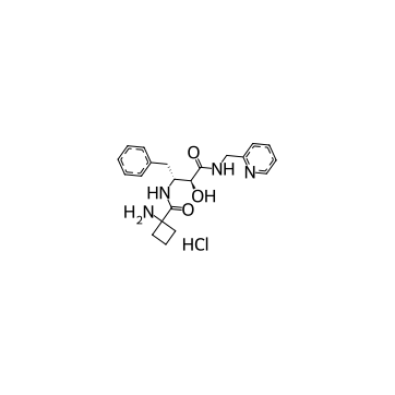 Cl.NC1(C(=O)N[C@H](Cc2ccccc2)[C@H](O)C(=O)NCc2ccccn2)CCC1